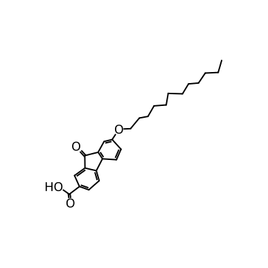 CCCCCCCCCCCCOc1ccc2c(c1)C(=O)c1cc(C(=O)O)ccc1-2